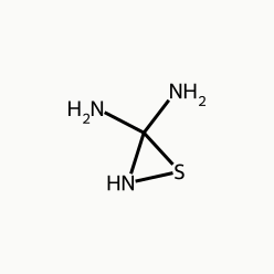 NC1(N)NS1